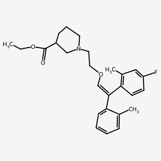 CCOC(=O)C1CCCN(CCOC=C(c2ccccc2C)c2ccc(F)cc2C)C1